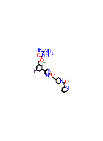 N=C(N)NC(=O)OCC1=C(F)C(c2cnc(OCC3CCN(C(=O)c4ccccn4)CC3)nc2)CC(I)=C1